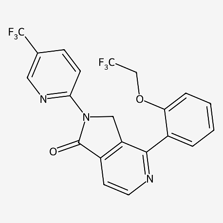 O=C1c2ccnc(-c3ccccc3OCC(F)(F)F)c2CN1c1ccc(C(F)(F)F)cn1